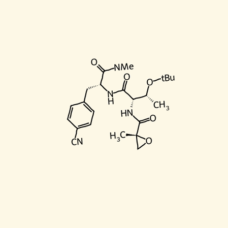 CNC(=O)[C@@H](Cc1ccc(C#N)cc1)NC(=O)[C@@H](NC(=O)[C@@]1(C)CO1)[C@@H](C)OC(C)(C)C